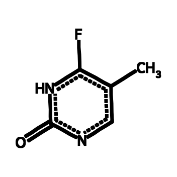 Cc1cnc(=O)[nH]c1F